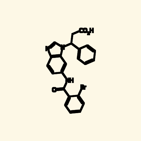 O=C(O)CC(c1ccccc1)n1cnc2ccc(NC(=O)c3ccccc3Br)cc21